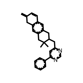 C=C1C=Cc2cc3c(cc2C1)CC(C)(C)C(Cc1cc(-c2ccccc2)ncn1)C3